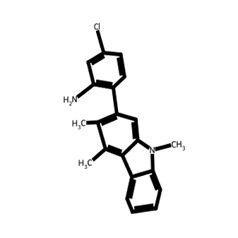 Cc1c(-c2ccc(Cl)cc2N)cc2c(c1C)c1ccccc1n2C